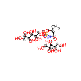 CC1=CC(=O)NS(=O)(=O)O1.OC[C@@H](O)[C@@H](O)[C@H](O)[C@@H](O)CO.OC[C@@H](O)[C@H](O)[C@@H](O)CO